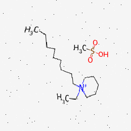 CCCCCCCCC[N+]1(CC)CCCCC1.CS(=O)(=O)O